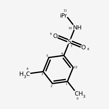 Cc1cc(C)cc(S(=O)(=O)NC(C)C)c1